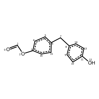 O=COc1ccc(Cc2ccc(O)cc2)cc1